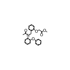 COC(=O)COc1ccccc1CN(C(C)=O)c1ccccc1Oc1ccccc1